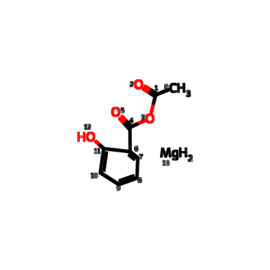 CC(=O)OC(=O)c1ccccc1O.[MgH2]